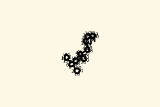 c1ccc(-c2ccc(-c3ccccc3)c3cc4c(cc23)-c2cccc3c(-c5cccc(-c6ccc7ccc8cccnc8c7n6)c5)ccc-4c23)cc1